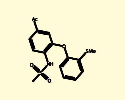 CSc1ccccc1Oc1cc(C(C)=O)ccc1NS(C)(=O)=O